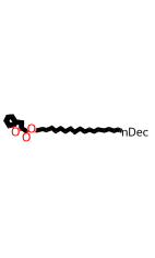 CCCCCCCCCCCCCCCCCCCCCCCCCCCCOC(=O)c1cc2ccccc2o1